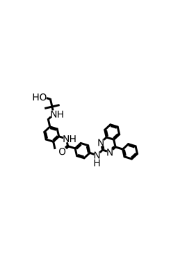 Cc1ccc(CNC(C)(C)CO)cc1NC(=O)c1ccc(Nc2nc(-c3ccccc3)c3ccccc3n2)cc1